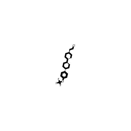 FC(F)(F)Oc1ccc([C@H]2CC[C@H]([C@H]3CC[C@H](CCCl)CC3)CC2)cc1